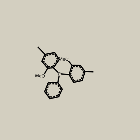 COc1cc(C)ccc1P(c1ccccc1)c1ccc(C)cc1OC